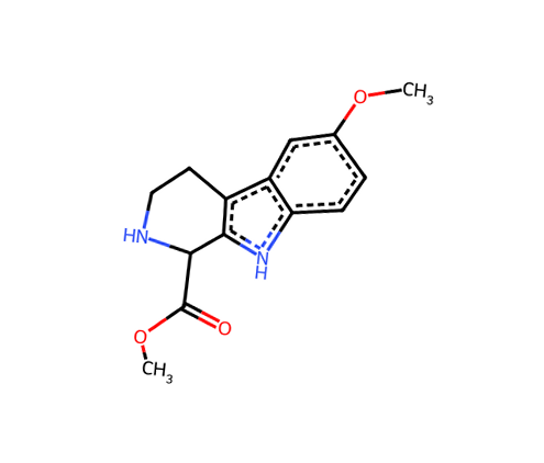 COC(=O)C1NCCc2c1[nH]c1ccc(OC)cc21